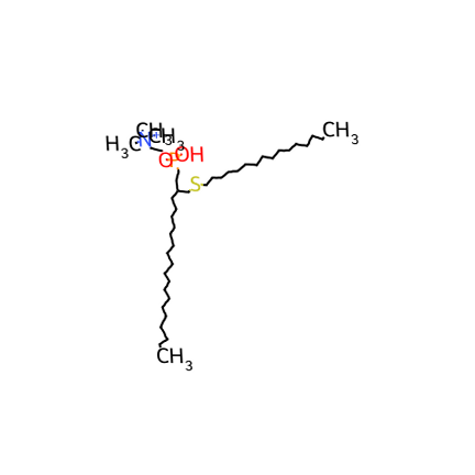 CCCCCCCCCCCCCCCCCCC(CCP(O)OCC[N+](C)(C)C)CSCCCCCCCCCCCCCCCC